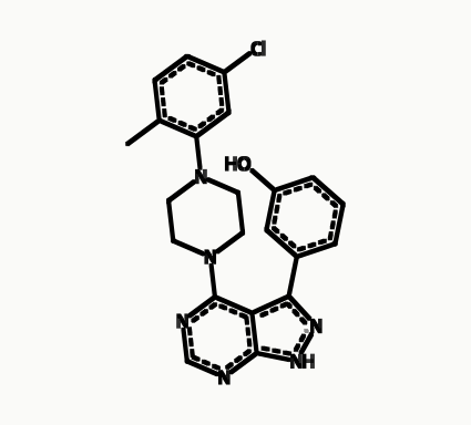 Cc1ccc(Cl)cc1N1CCN(c2ncnc3[nH]nc(-c4cccc(O)c4)c23)CC1